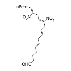 CCCCC/C=C(/C/C=C(/C/C=C/C/C=C/CCC[C]=O)[N+](=O)[O-])[N+](=O)[O-]